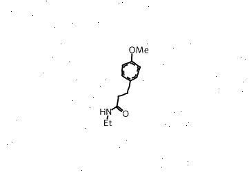 CCNC(=O)CCc1ccc(OC)cc1